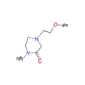 CCCN1CCN(CCOC(C)C)CC1=O